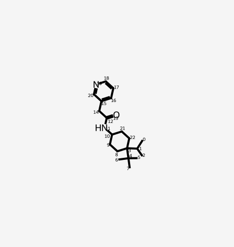 CC(C)C1(C(C)(C)C)CCC(NC(=O)Cc2cccnc2)CC1